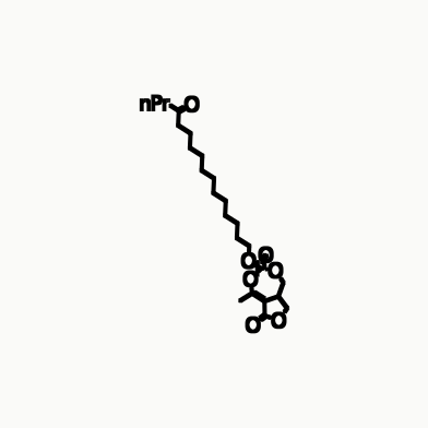 CCCC(=O)CCCCCCCCCCCCOP1(=O)OCC2COC(=O)C2=C(C)O1